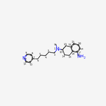 CN(CCCCCc1ccncc1)C1CCc2c(N)cccc2C1